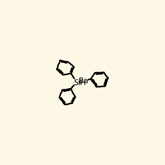 c1cc[c]([Ba][SiH](c2ccccc2)c2ccccc2)cc1